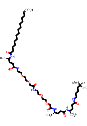 CC[C@@](C=O)(CCCCNC(=O)CC[C@H](NC(=O)CC[C@H](NC(=O)COCCOCCNC(=O)COCCOCCNC(O)CC[C@H](NC(=O)CCCCCCCCCCCCCCC(=O)O)C(=O)O)C(=O)O)C(=O)O)NC